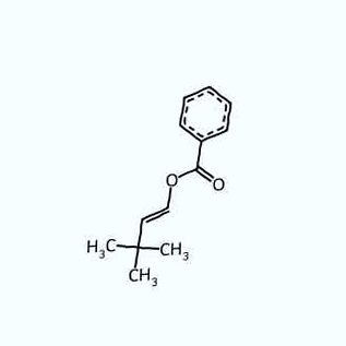 CC(C)(C)C=COC(=O)c1ccccc1